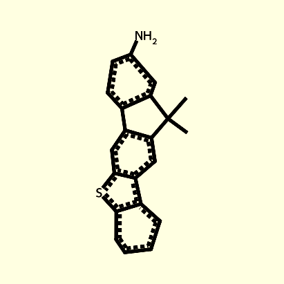 CC1(C)c2cc(N)ccc2-c2cc3sc4ccccc4c3cc21